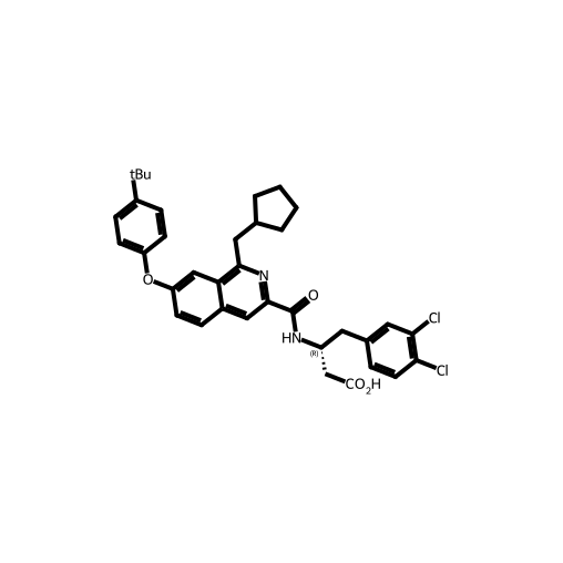 CC(C)(C)c1ccc(Oc2ccc3cc(C(=O)N[C@@H](CC(=O)O)Cc4ccc(Cl)c(Cl)c4)nc(CC4CCCC4)c3c2)cc1